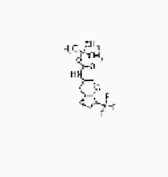 CC(C)(C)OC(=O)NC1COc2c(C(F)(F)F)csc2C1